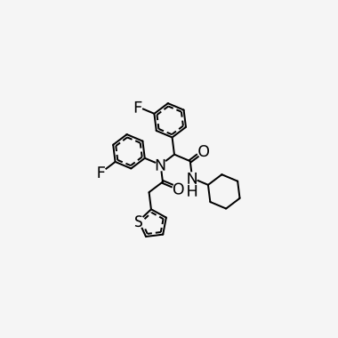 O=C(NC1CCCCC1)C(c1cccc(F)c1)N(C(=O)Cc1cccs1)c1cccc(F)c1